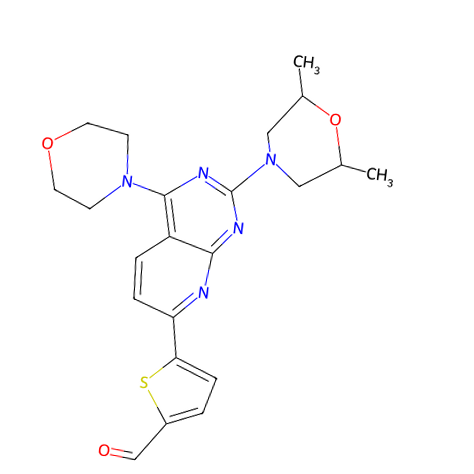 CC1CN(c2nc(N3CCOCC3)c3ccc(-c4ccc(C=O)s4)nc3n2)CC(C)O1